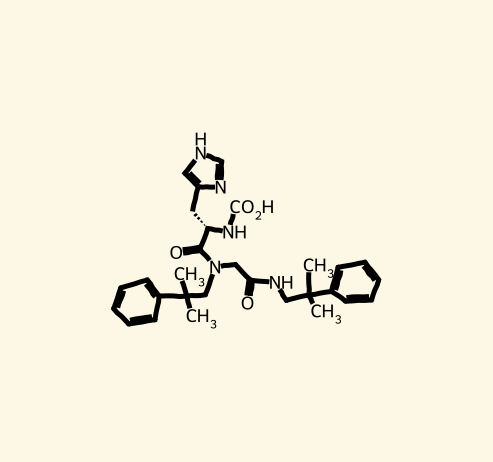 CC(C)(CNC(=O)CN(CC(C)(C)c1ccccc1)C(=O)[C@H](Cc1c[nH]cn1)NC(=O)O)c1ccccc1